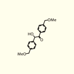 COCc1ccc(C(=O)C(O)c2ccc(COC)cc2)cc1